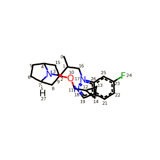 CC(CN1C2CC[C@@H]1CC(OCC1CC1)C2)Cn1ncc2ccc(F)cc21